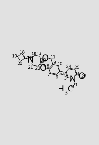 CCn1cc(-c2ccc3c(c2)COC2(CCN(C4CCC4)CC2)O3)ccc1=O